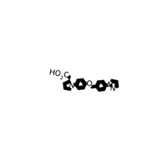 O=C(O)C[C@@H]1CCCN1c1ccc(OCc2ccc(-n3cccn3)cc2)cc1